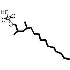 CCCCCCCCCCCC(C)CC(C)COS(=O)(=O)O